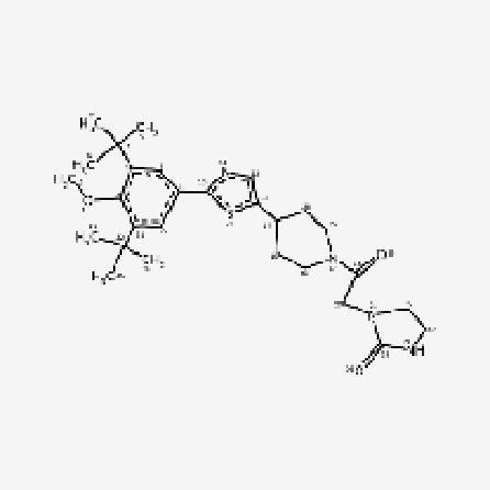 COc1c(C(C)(C)C)cc(-c2ncc(C3CCN(C(=O)CN4CCNC4=O)CC3)s2)cc1C(C)(C)C